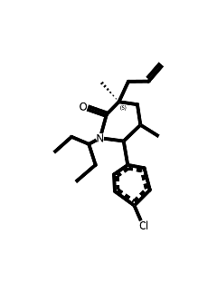 C=CC[C@@]1(C)CC(C)C(c2ccc(Cl)cc2)N(C(CC)CC)C1=O